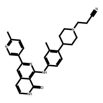 Cc1ccc(-c2cc3cc[nH]c(=O)c3c(Nc3ccc(C4CCN(CCC#N)CC4)c(C)c3)n2)cn1